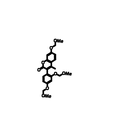 COCOc1ccc(-c2c(C)c3ccc(OCOC)cc3oc2=O)c(OCOC)c1